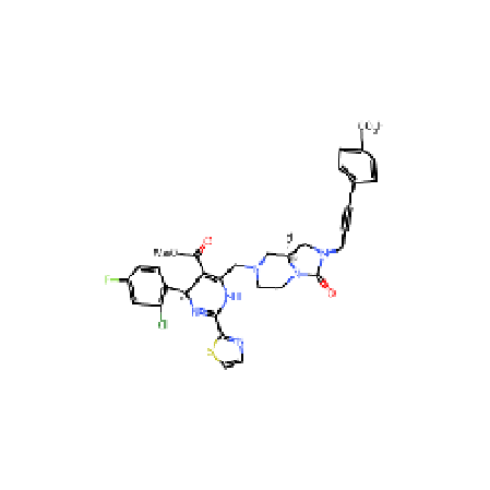 COC(=O)C1=C(CN2CCN3C(=O)N(CC#Cc4ccc(C(=O)O)cc4)C[C@@H]3C2)NC(c2nccs2)=N[C@H]1c1ccc(F)cc1Cl